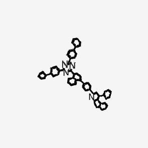 c1ccc(-c2ccc(-c3nc(-c4ccc(-c5ccccc5)cc4)nc(-c4ccc(-c5ccc(-c6cc(-c7ccccc7)c7c(ccc8ccccc87)n6)cc5)c5ccccc45)n3)cc2)cc1